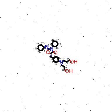 O=C1/C(=C\c2ccc(N(CCCO)CCCO)cc2)OC(=NC2CCCCC2)N1C1CCCCC1